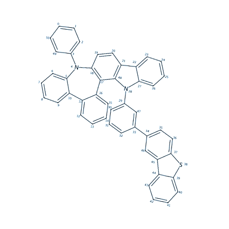 c1ccc(N2c3ccccc3-c3ccccc3-c3c2ccc2c4ccccc4n(-c4cccc(-c5ccc6sc7ccccc7c6c5)c4)c32)cc1